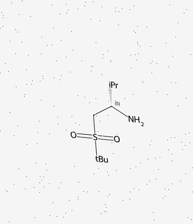 CC(C)[C@H](N)CS(=O)(=O)C(C)(C)C